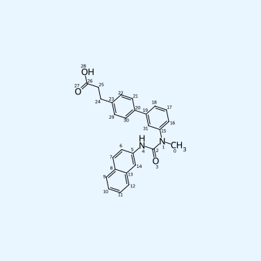 CN(C(=O)Nc1ccc2ccccc2c1)c1cccc(-c2ccc(CCC(=O)O)cc2)c1